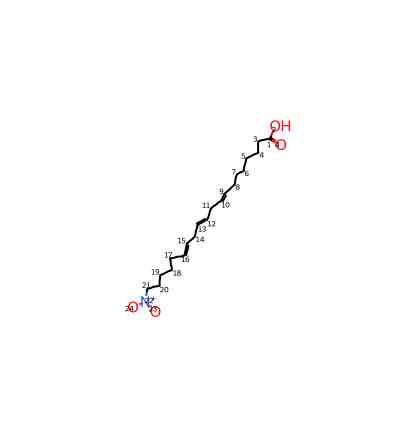 O=C(O)CCCCCCC=CCC=CCC=CCCCCC[N+](=O)[O-]